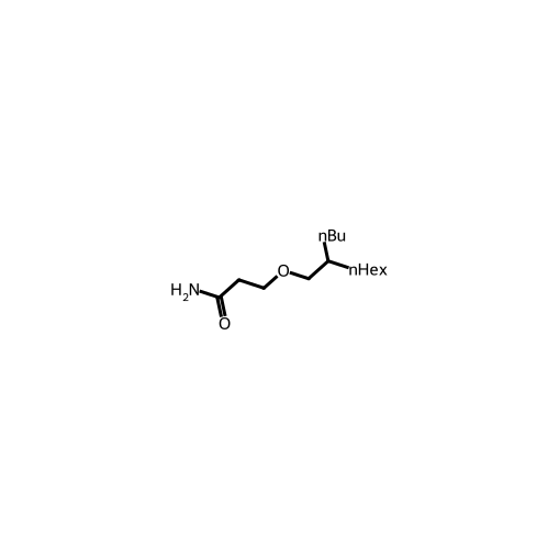 CCCCCCC(CCCC)COCCC(N)=O